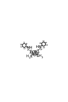 C[Si](C)(CCCNc1ccccc1)O[Si](C)(C)CCCNc1ccccc1